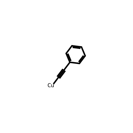 [Cu][C]#Cc1ccccc1